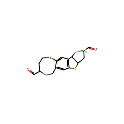 O=CC1CCSc2cc3c(cc2CS1)SC1C[C@H](C=O)SC31